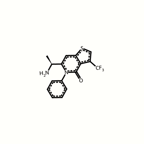 C[C@H](N)c1cc2scc(C(F)(F)F)c2c(=O)n1-c1ccccc1